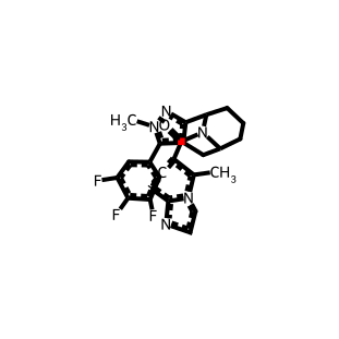 Cc1c(C(=O)N2C3CCCC2c2nn(C)c(-c4cc(F)c(F)c(F)c4)c2C3)ccc2nccn12